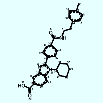 Cc1ccc(CCNC(=O)c2ccc(-c3nc4cc(C(=O)O)ccc4n3C3CCCCC3)cc2)cc1